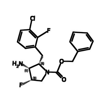 N[C@H]1[C@@H](F)CN(C(=O)OCc2ccccc2)[C@H]1Cc1cccc(Cl)c1F